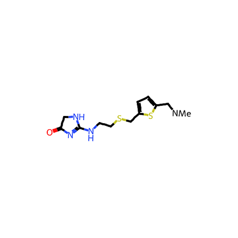 CNCc1ccc(CSCCNC2=NC(=O)CN2)s1